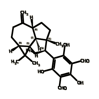 C=C1CC[C@@H]2[C@H]([C@H]3[C@H]1CC[C@]3(C)[C@H](CC(C)C)c1c(O)c(C=O)c(O)c(C=O)c1O)C2(C)C